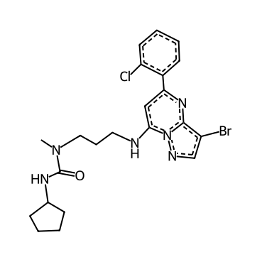 CN(CCCNc1cc(-c2ccccc2Cl)nc2c(Br)cnn12)C(=O)NC1CCCC1